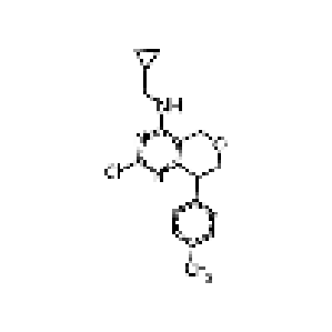 FC(F)(F)c1ccc(C2COCc3c(NCC4CC4)nc(Cl)nc32)cc1